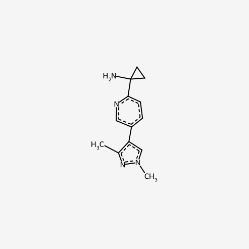 Cc1nn(C)cc1-c1ccc(C2(N)CC2)nc1